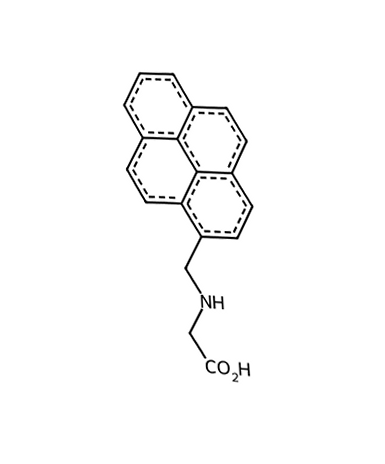 O=C(O)CNCc1ccc2ccc3cccc4ccc1c2c34